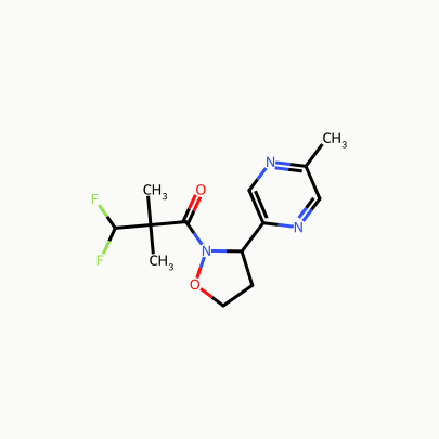 Cc1cnc(C2CCON2C(=O)C(C)(C)C(F)F)cn1